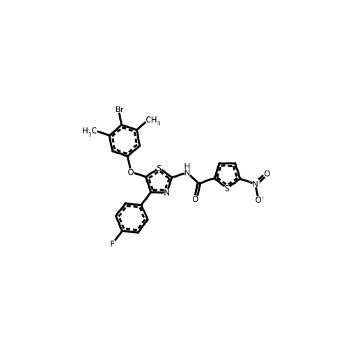 Cc1cc(Oc2sc(NC(=O)c3ccc([N+](=O)[O-])s3)nc2-c2ccc(F)cc2)cc(C)c1Br